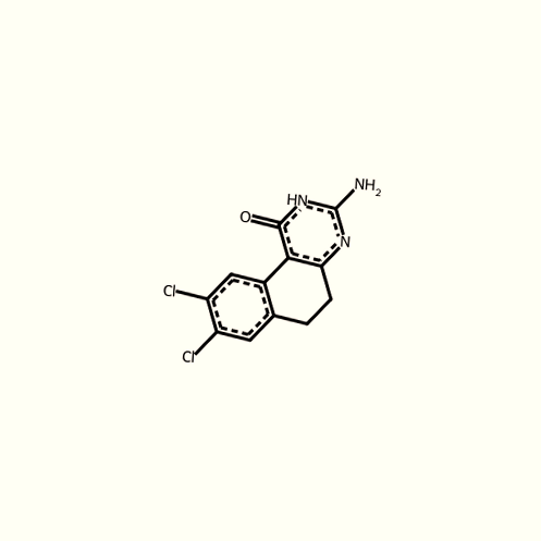 Nc1nc2c(c(=O)[nH]1)-c1cc(Cl)c(Cl)cc1CC2